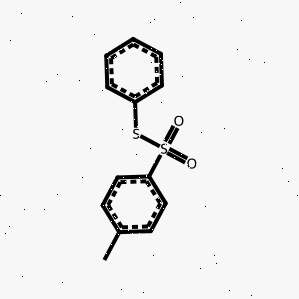 Cc1ccc(S(=O)(=O)Sc2ccccc2)cc1